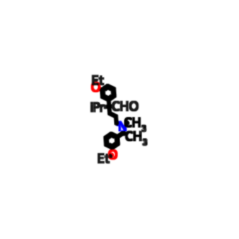 CCOc1cccc(C(C)N(C)CCCC(C=O)(c2cccc(OCC)c2)C(C)C)c1